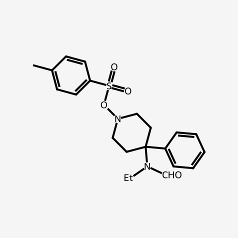 CCN(C=O)C1(c2ccccc2)CCN(OS(=O)(=O)c2ccc(C)cc2)CC1